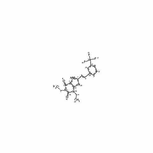 CCn1c(=O)c2[nH]c(C=Cc3cccc(C(F)(F)F)c3)nc2n(CC)c1=O